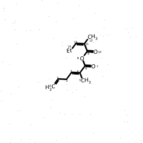 C=CCC=C(C)C(=O)OC(=O)C(C)=CCC